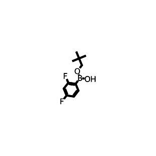 CC(C)(C)COB(O)c1ccc(F)cc1F